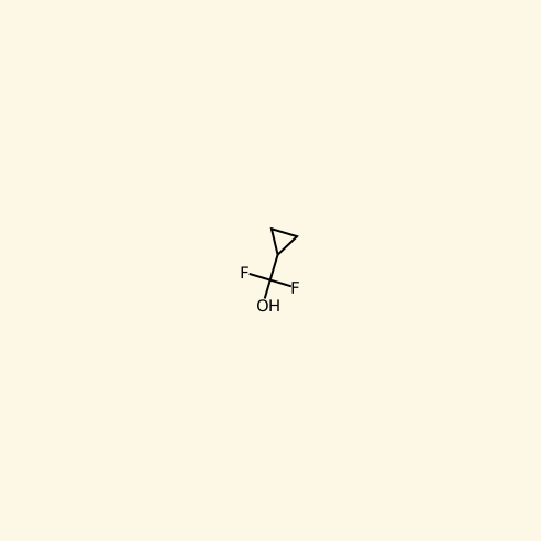 OC(F)(F)C1CC1